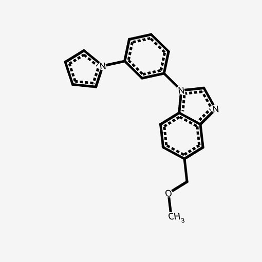 COCc1ccc2c(c1)ncn2-c1cccc(-n2cccc2)c1